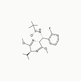 COC1=N[C@H]([C@H](N[S@+]([O-])C(C)(C)C)c2ccccc2F)C(OC)=N[C@H]1C(C)C